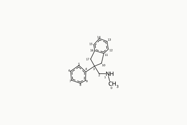 CNCC1(c2ccccc2)Cc2ccccc2C1